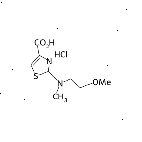 COCCN(C)c1nc(C(=O)O)cs1.Cl